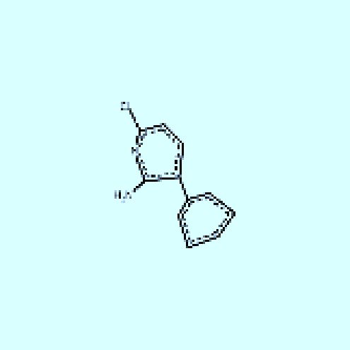 Nc1nc(Cl)ccc1-c1ccccc1